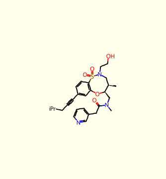 CC(C)CC#Cc1ccc2c(c1)O[C@H](CN(C)C(=O)Cc1cccnc1)[C@H](C)CN(CCO)S2(=O)=O